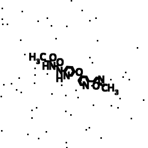 CCC(=O)NC(=O)Nc1ccc(Oc2ccnc(-c3cnc(C)o3)c2)cn1